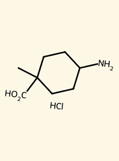 CC1(C(=O)O)CCC(N)CC1.Cl